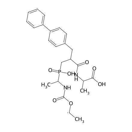 C[CH]OC(=O)NC(C)P(=O)(O)CC(Cc1ccc(-c2ccccc2)cc1)C(=O)NC(C)C(=O)O